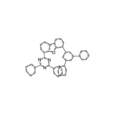 c1ccc(-c2cc(-c3ccccc3)cc(-c3cccc4c3oc3c(-c5nc(-c6ccccc6)nc(-c6ccccc6)n5)cccc34)c2)cc1